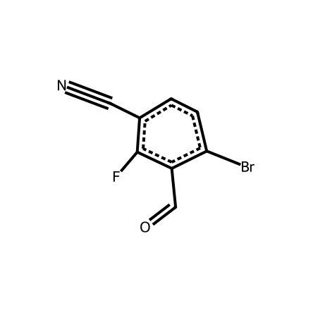 N#Cc1ccc(Br)c(C=O)c1F